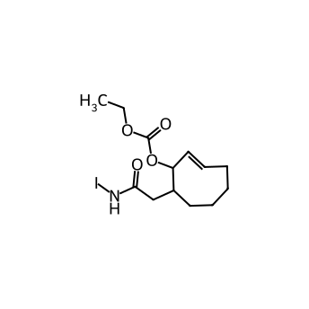 CCOC(=O)OC1/C=C/CCCCC1CC(=O)NI